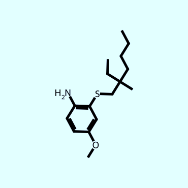 CCCCC(C)(CC)CSc1cc(OC)ccc1N